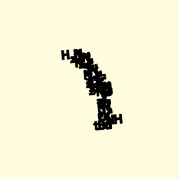 CC(C)(C)NC(=O)Cn1cc(-c2nc([C@@](C)(c3ccc(-c4cnc(N)nc4)nc3)C3CC3)no2)cn1